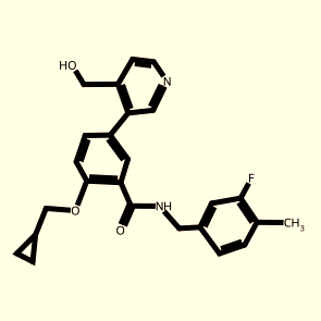 Cc1ccc(CNC(=O)c2cc(-c3cnccc3CO)ccc2OCC2CC2)cc1F